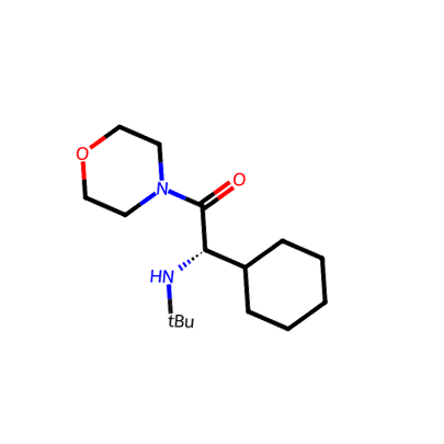 CC(C)(C)N[C@H](C(=O)N1CCOCC1)C1CCCCC1